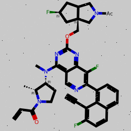 C#Cc1c(F)ccc2cccc(-c3ncc4c(N(C)[C@@H]5CCN(C(=O)C=C)[C@@H]5C)nc(OC[C@@]56C[C@@H](F)CC5CN(C(C)=O)C6)nc4c3F)c12